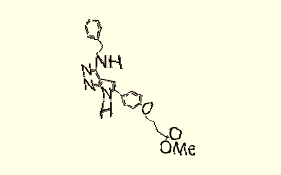 COC(=O)CCCOc1ccc(-c2cc3c(NCCc4ccccc4)ncnc3[nH]2)cc1